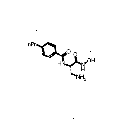 CCCc1ccc(C(=O)N[C@@H](CN)C(=O)NO)cc1